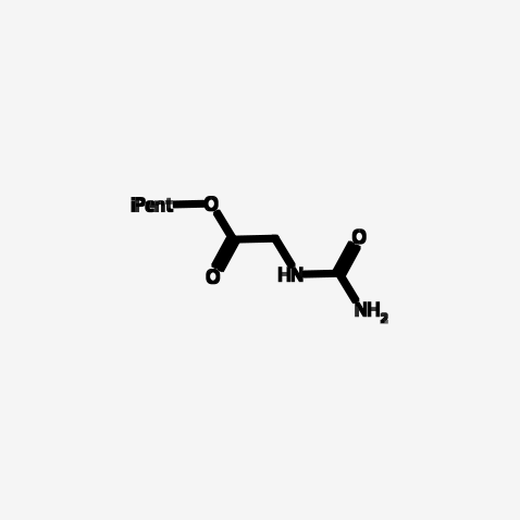 CCCC(C)OC(=O)CNC(N)=O